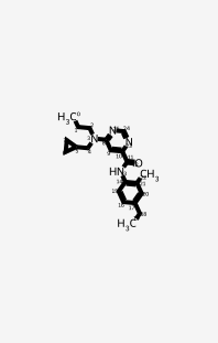 CCCN(CC1CC1)c1cc(C(=O)Nc2ccc(CC)cc2C)ncn1